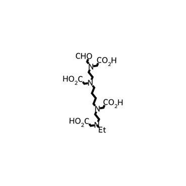 CCN(CCN(CCCCN(CCN(CC=O)CC(=O)O)CC(=O)O)CC(=O)O)CC(=O)O